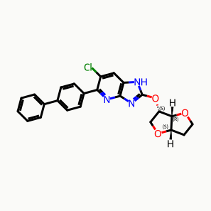 Clc1cc2[nH]c(O[C@H]3CO[C@H]4CCO[C@H]43)nc2nc1-c1ccc(-c2ccccc2)cc1